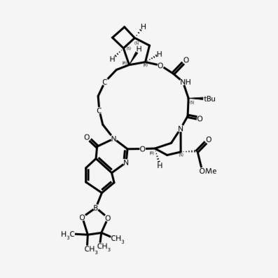 COC(=O)[C@@H]1C[C@@H]2CN1C(=O)[C@H](C(C)(C)C)NC(=O)O[C@@H]1C[C@@H]3CC[C@@H]3[C@H]1CCCCCn1c(nc3cc(B4OC(C)(C)C(C)(C)O4)ccc3c1=O)O2